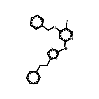 Brc1cnc(Nc2nc(CCc3ccccc3)cs2)cc1OCc1ccccc1